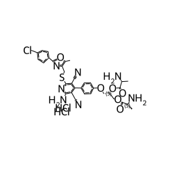 Cc1oc(-c2ccc(Cl)cc2)nc1CSc1nc(N)c(C#N)c(-c2ccc(OC[C@@H](COC(=O)[C@H](C)N)OC(=O)C(C)N)cc2)c1C#N.Cl.Cl